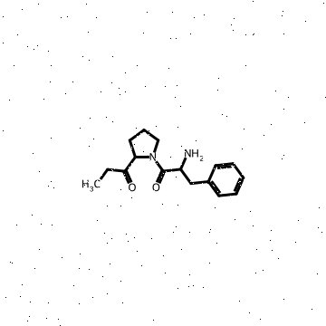 CCC(=O)C1CCCN1C(=O)C(N)Cc1ccccc1